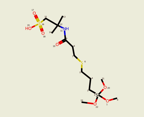 CO[Si](CCCSCCC(=O)NC(C)(C)CS(=O)(=O)O)(OC)OC